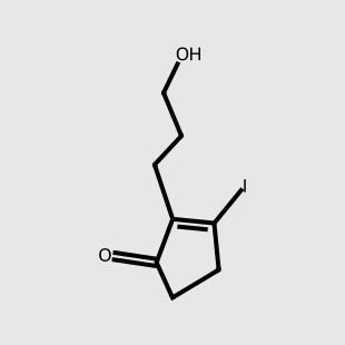 O=C1CCC(I)=C1CCCO